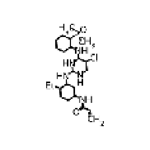 C=CC(=O)NC1CCC(CC)C(NC2NCC(Cl)C(NC3CCCCC3P(C)(C)=O)N2)C1